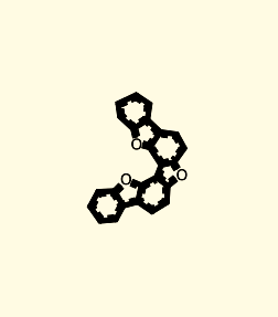 c1ccc2c(c1)oc1c2ccc2oc3ccc4c5ccccc5oc4c3c21